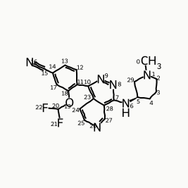 CN1CCC[C@@H](Nc2nnc(-c3ccc(C#N)cc3OC(F)F)c3ccncc23)C1